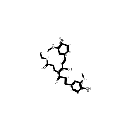 CCOC(=O)CCC(C(=O)C=Cc1ccc(O)c(OC)c1)=C(O)C=Cc1ccc(O)c(OC)c1